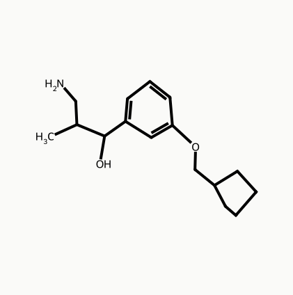 CC(CN)C(O)c1cccc(OCC2CCCC2)c1